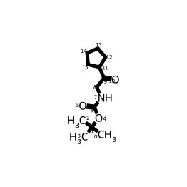 CC(C)(C)OC(=O)NCC(=O)C1CCCC1